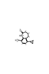 Nc1ccc(C2CC2)c2c1NC(=O)CCC2